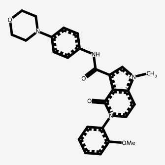 COc1ccccc1-n1ccc2c(c(C(=O)Nc3ccc(N4CCOCC4)cc3)cn2C)c1=O